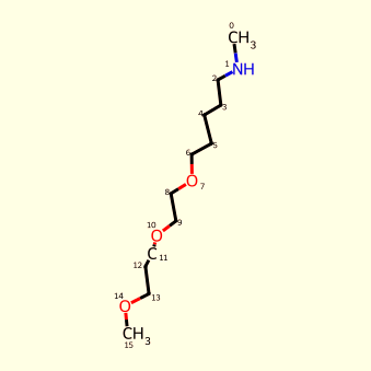 CNCCCCCOCCOCCCOC